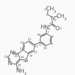 CCN(C)C(=O)Nc1cccc(-c2ccc3c(c2)sc2c(N)ncnc23)c1